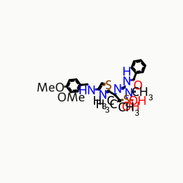 COc1ccc(CNc2csc(C3(C)N=C(NC(=O)c4ccccc4)N(C)S(O)(O)C3(C)C)n2)c(OC)c1